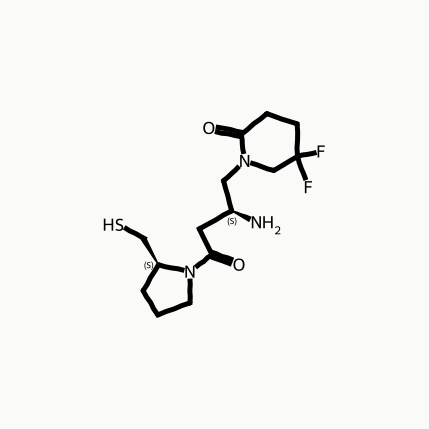 N[C@@H](CC(=O)N1CCC[C@H]1CS)CN1CC(F)(F)CCC1=O